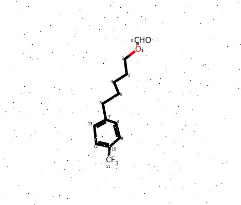 O=[C]OCCCCCc1ccc(C(F)(F)F)cc1